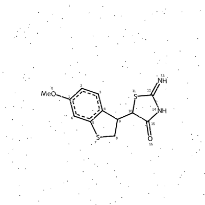 COc1ccc2c(c1)SCC2C1SC(=N)NC1=O